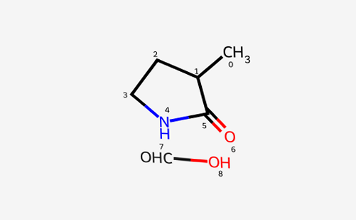 CC1CCNC1=O.O=CO